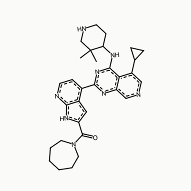 CC1(C)CNCCC1Nc1nc(-c2ccnc3[nH]c(C(=O)N4CCCCCC4)cc23)nc2cncc(C3CC3)c12